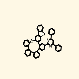 c1ccc(-c2cc(-c3ccccc3)nc(-c3ccc4c(c3)-c3cc5oc6ccccc6c5cc3Sc3ccccc3-c3ccccc3-c3ccccc3-4)n2)cc1